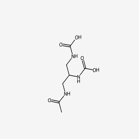 CC(=O)NCC(CNC(=O)O)NC(=O)O